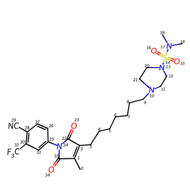 CC1=C(CCCCCCCN2CCN(S(=O)(=O)N(C)C)CC2)C(=O)N(c2ccc(C#N)c(C(F)(F)F)c2)C1=O